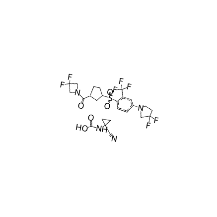 N#CC1(NC(=O)O)CC1.O=C(C1CCC(S(=O)(=O)c2ccc(N3CCC(F)(F)C3)cc2C(F)(F)F)C1)N1CC(F)(F)C1